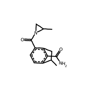 CC1Cc2c(C(=O)N3CC3C)ccc1c2C(N)=O